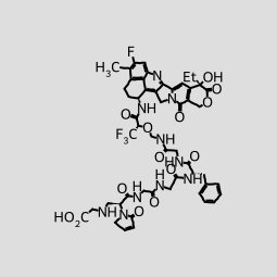 CC[C@@]1(O)C(=O)OCc2c1cc1n(c2=O)Cc2c-1nc1cc(F)c(C)c3c1c2[C@@H](NC(=O)[C@@H](OCNC(=O)CNC(=O)[C@H](Cc1ccccc1)NC(=O)CNC(=O)CNC(=O)[C@H](CNCC(=O)O)N1CC=CC1=O)C(F)(F)F)CC3